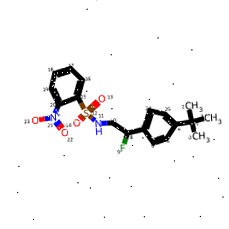 CC(C)(C)c1ccc(C(F)CNS(=O)(=O)c2ccccc2[N+](=O)[O-])cc1